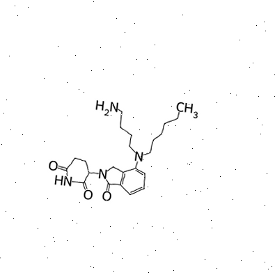 CCCCCCN(CCCCN)c1cccc2c1CN(C1CCC(=O)NC1=O)C2=O